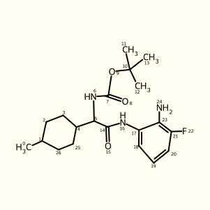 CC1CCC(C(NC(=O)OC(C)(C)C)C(=O)Nc2cccc(F)c2N)CC1